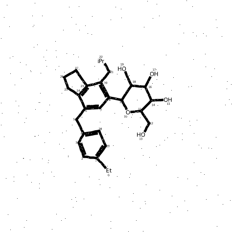 CCc1ccc(Cc2cc(C3OC(CO)C(O)C(O)C3O)c(CC(C)C)c3c2CCC3)cc1